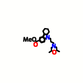 COC(=O)c1ccc2c(c1)c1c(n2CCCN2CC(C)OC(C)C2)CCCC1